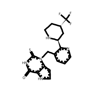 O=c1[nH]c(=S)n(Cc2cccnc2[C@@H]2C[C@@H](C(F)(F)F)CCN2)c2cc[nH]c12